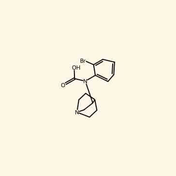 O=C(O)N(c1ccccc1Br)C1CN2CCC1CC2